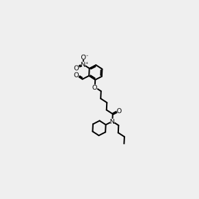 CCCCN(C(=O)CCCCOc1cccc([N+](=O)[O-])c1C=O)C1CCCCC1